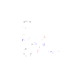 COc1cc2c3c([nH]c2cc1F)[C@@H](c1cccc(O)c1)N1C(=O)N(CCN(C)CCO)C(=O)[C@]1(C)C3